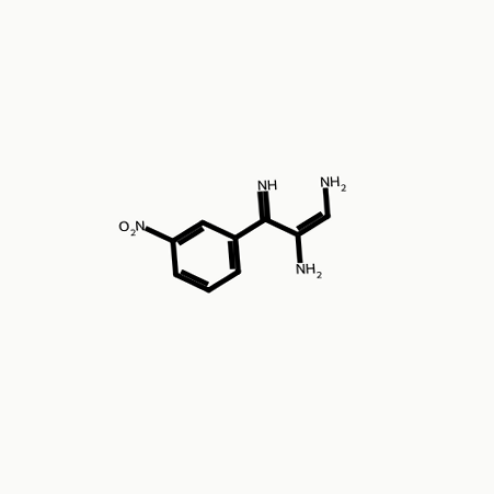 N=C(/C(N)=C\N)c1cccc([N+](=O)[O-])c1